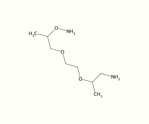 CC(COCCOC(C)CN)ON